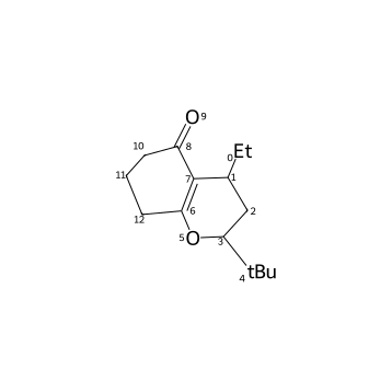 CCC1CC(C(C)(C)C)OC2=C1C(=O)CCC2